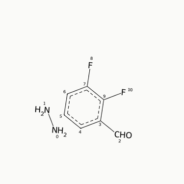 NN.O=Cc1cccc(F)c1F